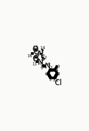 Cc1cc(Cl)ccc1N=CN(C)SN(C)S(C)(=O)=O